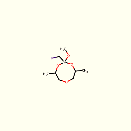 CO[Si]1(CI)OC(C)COCC(C)O1